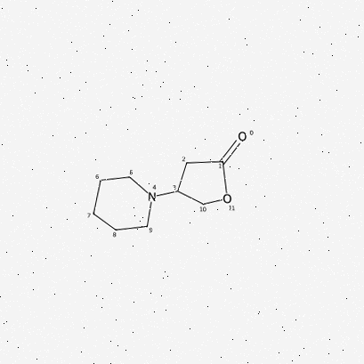 O=C1CC(N2CCCCC2)CO1